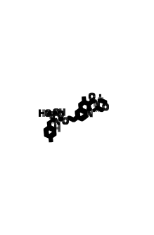 Cc1ccc(C[C@H](NC(=O)OCCc2cccc(CC(C)C(C#N)C(=O)N3[C@H](C)COC[C@H]3C)c2)B(O)O)cc1